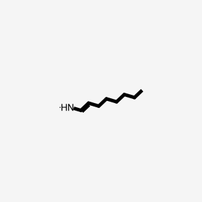 CCCCCCC=C[NH]